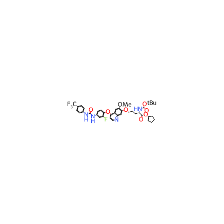 COc1cc2c(Oc3ccc(NC(=O)Nc4ccc(C(F)(F)F)cc4)cc3F)ccnc2cc1OCCC[C@@H](NC(=O)OC(C)(C)C)C(=O)OC1CCCC1